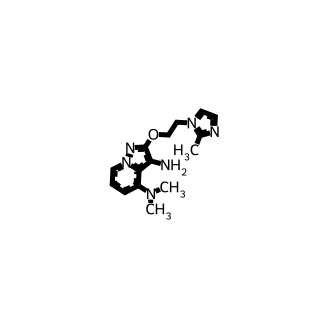 Cc1nccn1CCOc1nn2cccc(N(C)C)c2c1N